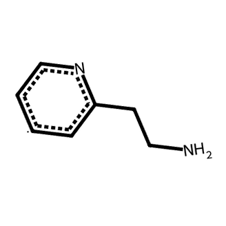 NCCc1c[c]ccn1